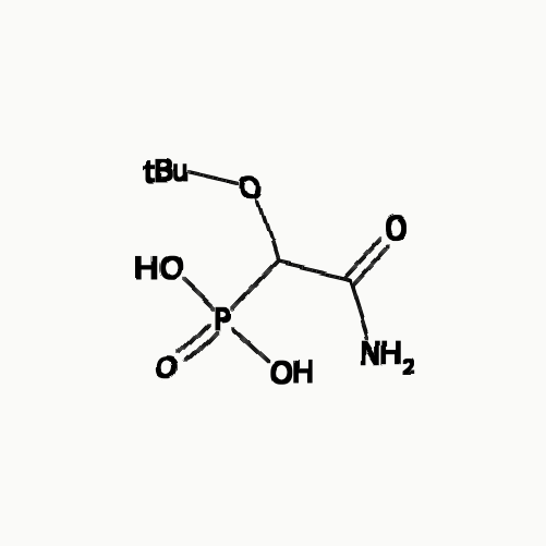 CC(C)(C)OC(C(N)=O)P(=O)(O)O